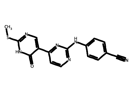 CSc1ncc(-c2ccnc(Nc3ccc(C#N)cc3)n2)c(=O)[nH]1